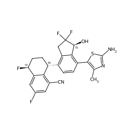 Cc1nc(N)sc1-c1ccc([C@H]2CC[C@H](F)c3cc(F)cc(C#N)c32)c2c1[C@H](O)C(F)(F)C2